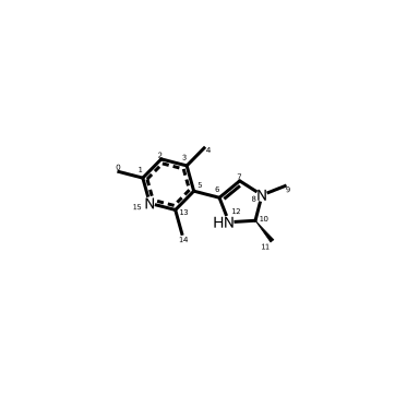 Cc1cc(C)c(C2=CN(C)[C@@H](C)N2)c(C)n1